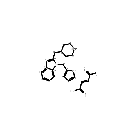 O=C(O)/C=C/C(=O)O.c1coc(Cn2c(CC3CCNCC3)nc3ccccc32)c1